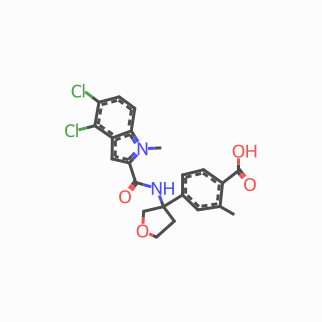 Cc1cc(C2(NC(=O)c3cc4c(Cl)c(Cl)ccc4n3C)CCOC2)ccc1C(=O)O